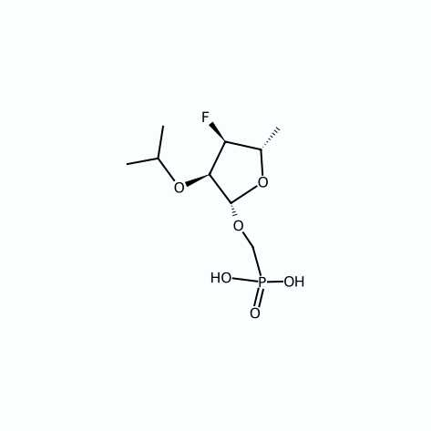 CC(C)O[C@@H]1[C@@H](OCP(=O)(O)O)O[C@@H](C)[C@@H]1F